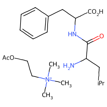 CC(=O)OCC[N+](C)(C)C.CC(C)CC(N)C(=O)NC(Cc1ccccc1)C(=O)O